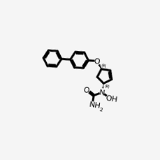 NC(=O)N(O)[C@H]1C=C[C@H](Oc2ccc(-c3ccccc3)cc2)C1